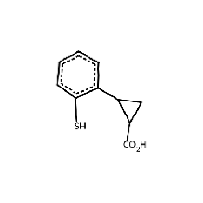 O=C(O)C1CC1c1ccccc1S